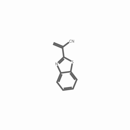 C=C(C#N)c1nc2ccccc2s1